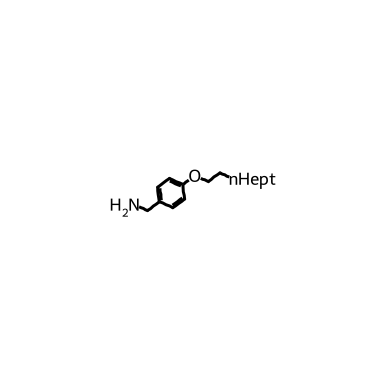 CCCCCCCCCOc1ccc(CN)cc1